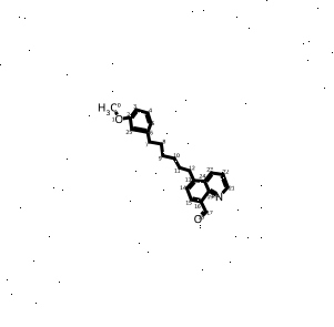 COc1cccc(CCCCCCc2ccc(C=O)c3ncccc23)c1